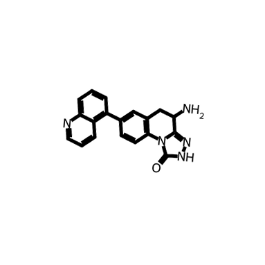 NC1Cc2cc(-c3cccc4ncccc34)ccc2-n2c1n[nH]c2=O